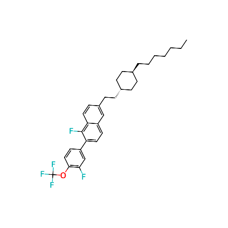 CCCCCCC[C@H]1CC[C@H](CCc2ccc3c(F)c(-c4ccc(OC(F)(F)F)c(F)c4)ccc3c2)CC1